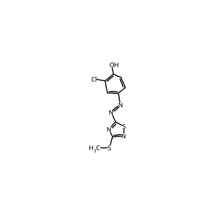 CSc1nsc(N=Nc2ccc(O)c(Cl)c2)n1